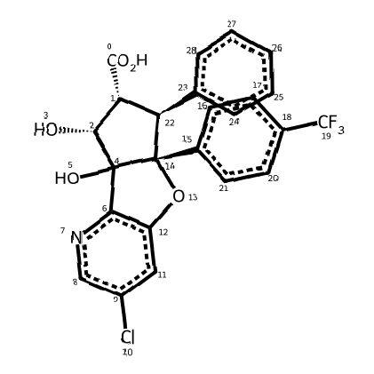 O=C(O)[C@H]1[C@@H](O)C2(O)c3ncc(Cl)cc3O[C@@]2(c2ccc(C(F)(F)F)cc2)[C@@H]1c1ccccc1